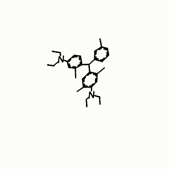 CCN(CC)c1ccc(C(c2cccc(C)c2)c2cc(C)c(N(CC)CC)cc2C)c(C)c1